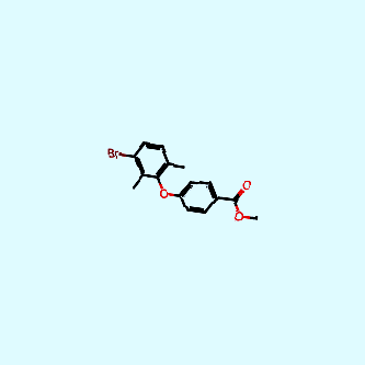 COC(=O)c1ccc(Oc2c(C)ccc(Br)c2C)cc1